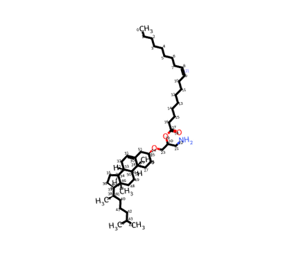 CCCCCCCC/C=C\CCCCCCCC(=O)OC(CN)CO[C@H]1CC[C@@]2(C)C(=CC[C@H]3[C@@H]4CC[C@H]([C@H](C)CCCC(C)C)[C@@]4(C)CC[C@@H]32)C1